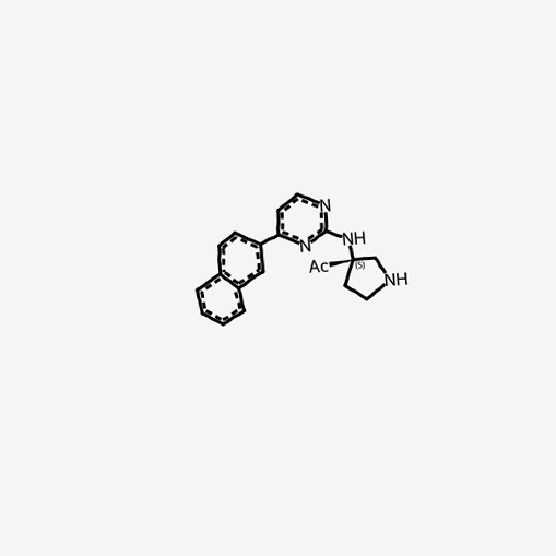 CC(=O)[C@]1(Nc2nccc(-c3ccc4ccccc4c3)n2)CCNC1